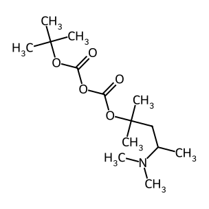 CC(CC(C)(C)OC(=O)OC(=O)OC(C)(C)C)N(C)C